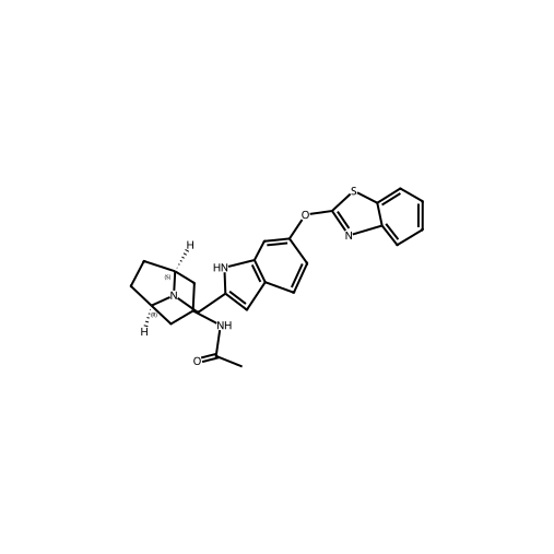 CC(=O)NC1C[C@H]2CC[C@@H](C1)N2Cc1cc2ccc(Oc3nc4ccccc4s3)cc2[nH]1